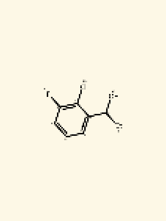 CCC(O)c1cccc(F)c1Cl